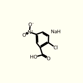 O=C(O)c1cc([N+](=O)[O-])ccc1Cl.[NaH]